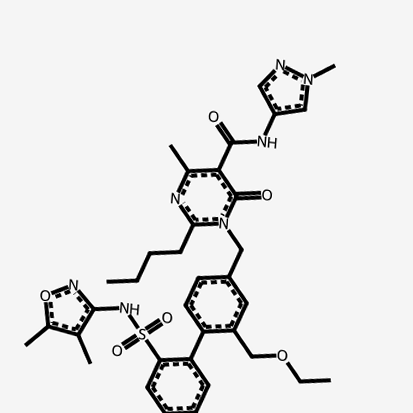 CCCCc1nc(C)c(C(=O)Nc2cnn(C)c2)c(=O)n1Cc1ccc(-c2ccccc2S(=O)(=O)Nc2noc(C)c2C)c(COCC)c1